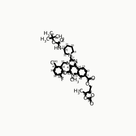 Cc1oc(=O)oc1COC(=O)c1ccc2c3nc(N4CCC[C@@H](NC(=O)OC(C)(C)C)C4)n(Cc4cc(F)ccc4Cl)c3c(=O)n(C)c2c1